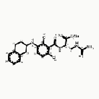 COC(=O)[C@H](CNC(N)=O)NC(=O)c1c(Cl)ccc(NC2CCc3ccccc3C2)c1Cl